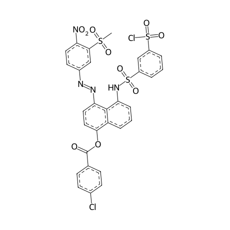 CS(=O)(=O)c1cc(N=Nc2ccc(OC(=O)c3ccc(Cl)cc3)c3cccc(NS(=O)(=O)c4cccc(S(=O)(=O)Cl)c4)c23)ccc1[N+](=O)[O-]